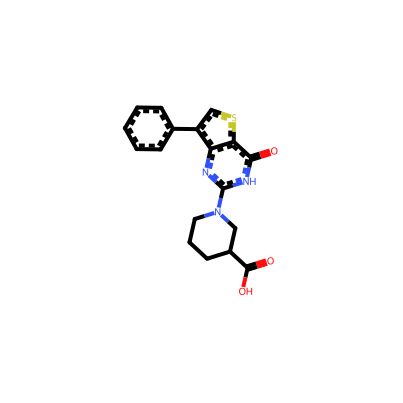 O=C(O)C1CCCN(c2nc3c(-c4ccccc4)csc3c(=O)[nH]2)C1